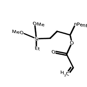 C=CC(=O)OC(CCCCC)CC[Si](CC)(OC)OC